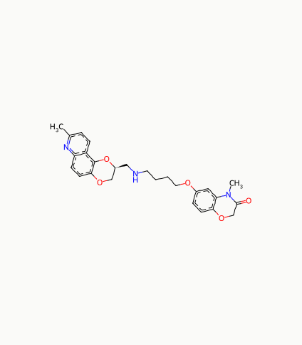 Cc1ccc2c3c(ccc2n1)OC[C@H](CNCCCCOc1ccc2c(c1)N(C)C(=O)CO2)O3